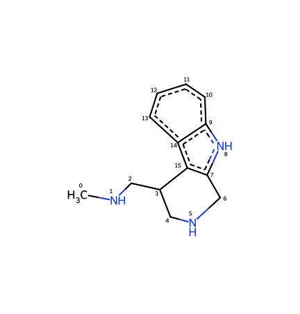 CNCC1CNCc2[nH]c3ccccc3c21